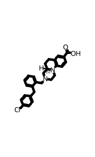 O=C(O)c1ccc2c(c1)CC[C@H]1CN(Cc3ccccc3Cc3ccc(Cl)cc3)CCN21